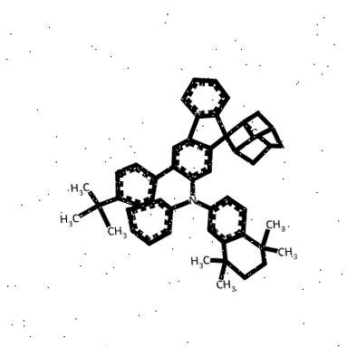 CC(C)(C)c1ccc(-c2cc3c(cc2N(c2ccccc2)c2ccc4c(c2)C(C)(C)CCC4(C)C)C2(c4ccccc4-3)C3CC4CC5CC2(C4)C53)cc1